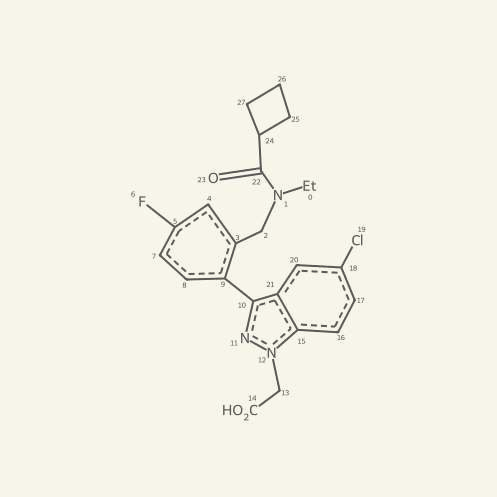 CCN(Cc1cc(F)ccc1-c1nn(CC(=O)O)c2ccc(Cl)cc12)C(=O)C1CCC1